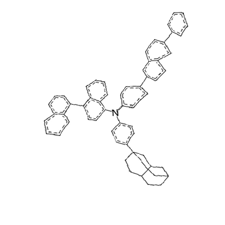 c1ccc(-c2ccc3cc(-c4ccc(N(c5ccc(C67CCC8CCC(CC8C6)C7)cc5)c5ccc(-c6cccc7ccccc67)c6ccccc56)cc4)ccc3c2)cc1